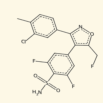 Cc1ccc(-c2noc(CF)c2-c2cc(F)c(S(N)(=O)=O)c(F)c2)cc1Cl